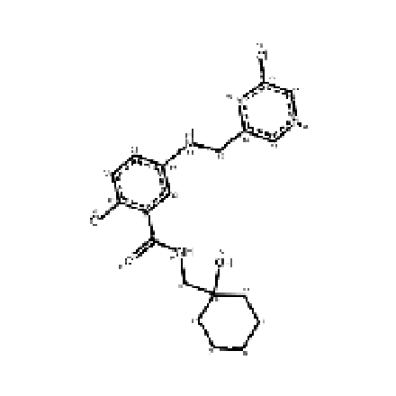 O=C(NCC1(O)CCCCC1)c1cc(NCc2cncc(Cl)n2)ccc1Cl